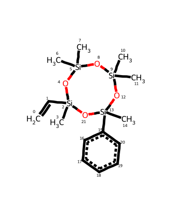 C=C[Si]1(C)O[Si](C)(C)O[Si](C)(C)O[Si](C)(c2ccccc2)O1